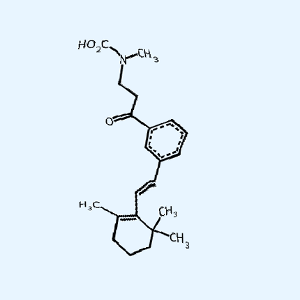 CC1=C(C=Cc2cccc(C(=O)CCN(C)C(=O)O)c2)C(C)(C)CCC1